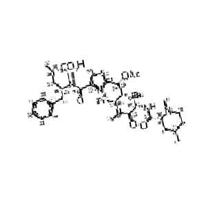 CC[C@H](C)[C@H](NC(=O)[C@H]1C[C@H](C)CCN1C)C(=O)N(C)[C@H](C[C@@H](OC(C)=O)c1nc(C(=O)N[C@@H](Cc2ccccc2)C[C@H](C)C(=O)O)cs1)C(C)C